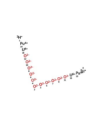 [2H+].[2H+].[O-2].[O-2].[O-2].[O-2].[O-2].[O-2].[O-2].[O-2].[O-2].[O-2].[O-2].[Pu+4].[Pu+4].[U+6].[U+6]